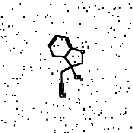 C#CCC1(C)COC2=CC=CCC21